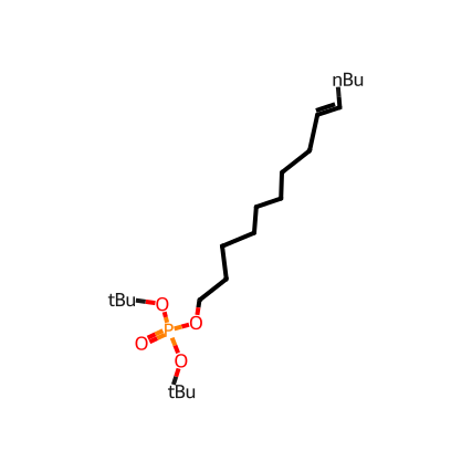 CCCCC=CCCCCCCCCOP(=O)(OC(C)(C)C)OC(C)(C)C